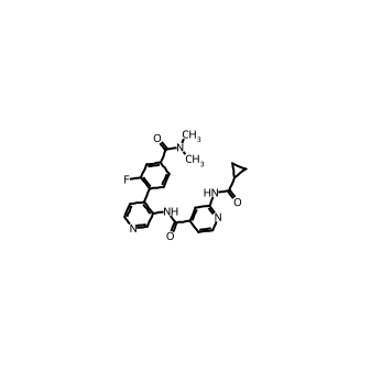 CN(C)C(=O)c1ccc(-c2ccncc2NC(=O)c2ccnc(NC(=O)C3CC3)c2)c(F)c1